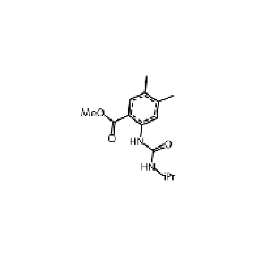 COC(=O)c1cc(C)c(C)cc1NC(=O)NC(C)C